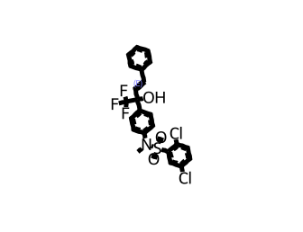 CN(c1ccc(C(O)(/C=C/c2ccccc2)C(F)(F)F)cc1)S(=O)(=O)c1cc(Cl)ccc1Cl